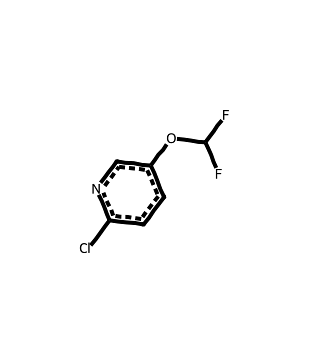 FC(F)Oc1ccc(Cl)nc1